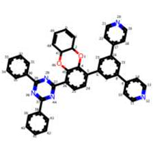 C1=CC2Oc3c(-c4cc(-c5ccncc5)cc(-c5ccncc5)c4)ccc(-c4nc(-c5ccccc5)nc(-c5ccccc5)n4)c3OC2C=C1